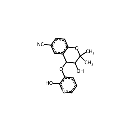 CC1(C)Oc2ccc(C#N)cc2C(Oc2cccnc2O)C1O